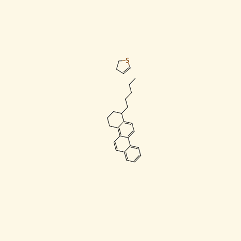 C1=CSCC1.CCCCCC1CCCc2c1ccc1c2ccc2ccccc21